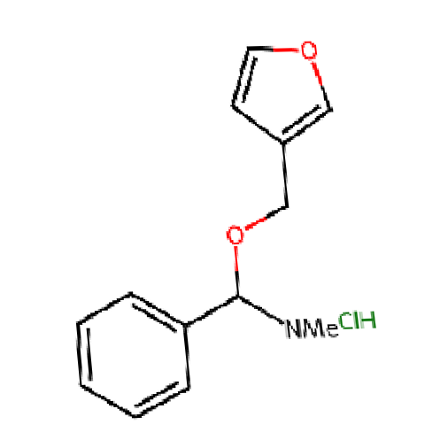 CNC(OCc1ccoc1)c1ccccc1.Cl